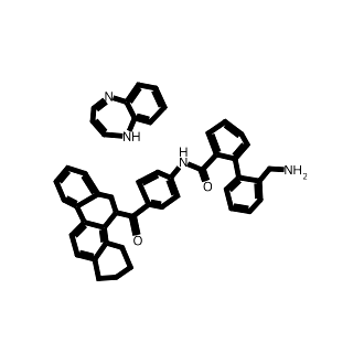 C1=CNc2ccccc2N=C1.NCc1ccccc1-c1ccccc1C(=O)Nc1ccc(C(=O)C2Cc3ccccc3-c3ccc4c(c32)CCCC4)cc1